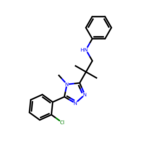 Cn1c(-c2ccccc2Cl)nnc1C(C)(C)CNc1ccccc1